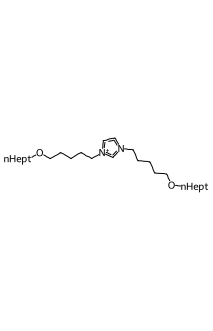 CCCCCCCOCCCCCn1cc[n+](CCCCCOCCCCCCC)c1